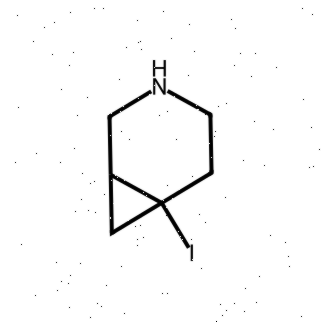 IC12CCNCC1C2